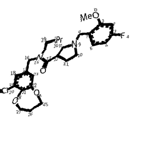 COc1cc(F)ccc1CN1CCC(C(=O)N(Cc2cc(Cl)c3c(c2)OCCCO3)CC(C)C)C1